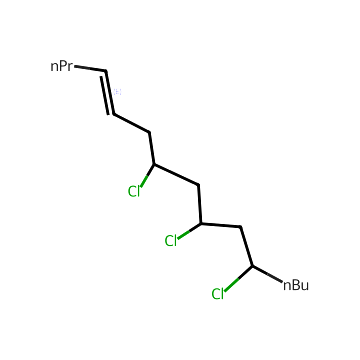 CCC/C=C/CC(Cl)CC(Cl)CC(Cl)CCCC